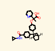 CC(Oc1ccc([C@@]2(c3ccc(C(=O)NC4CC4)cc3)C[C@@H]3CC[C@H]2C3)cc1)(C(=O)O)c1ccccn1